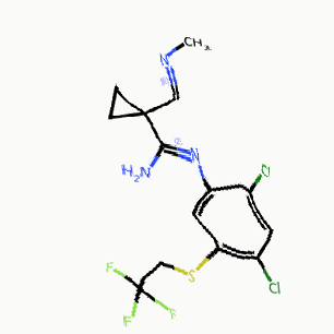 C/N=C/C1(/C(N)=N/c2cc(SCC(F)(F)F)c(Cl)cc2Cl)CC1